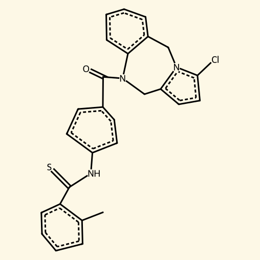 Cc1ccccc1C(=S)Nc1ccc(C(=O)N2Cc3ccc(Cl)n3Cc3ccccc32)cc1